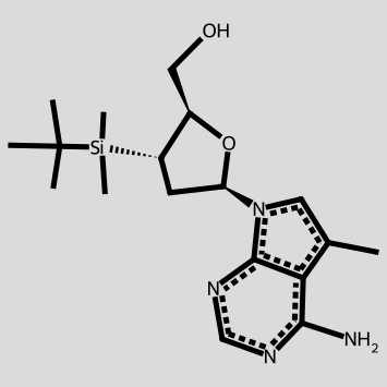 Cc1cn([C@H]2C[C@H]([Si](C)(C)C(C)(C)C)[C@@H](CO)O2)c2ncnc(N)c12